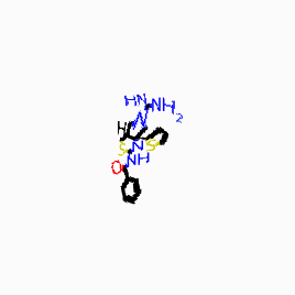 N=C(N)N1C[C@H]2CSC(NC(=O)c3ccccc3)=N[C@@]2(c2cccs2)C1